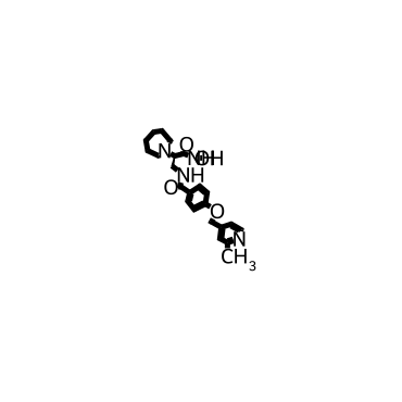 Cc1cc(COc2ccc(C(=O)NC[C@H](C(=O)NO)N3CCCCCC3)cc2)ccn1